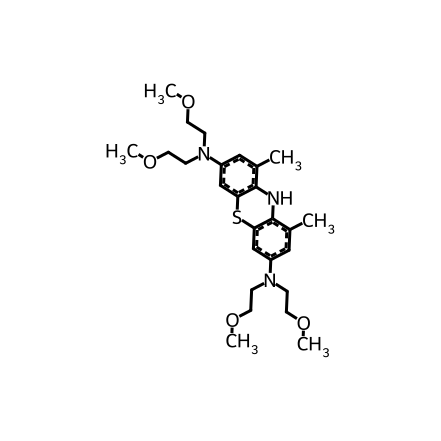 COCCN(CCOC)c1cc(C)c2c(c1)Sc1cc(N(CCOC)CCOC)cc(C)c1N2